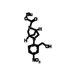 CC(C)(C)OC(=O)N1C[C@@H]2C[C@H]1CN2c1ccc([N+](=O)[O-])cc1CO